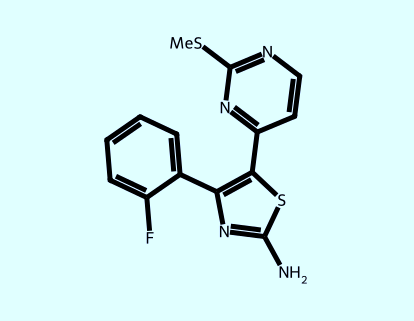 CSc1nccc(-c2sc(N)nc2-c2ccccc2F)n1